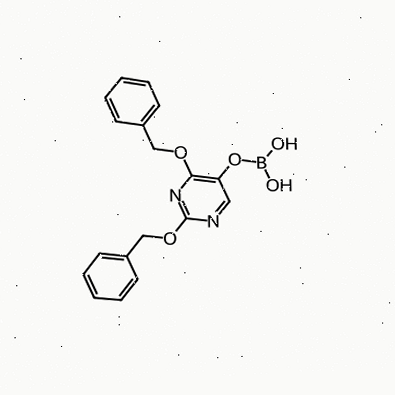 OB(O)Oc1cnc(OCc2ccccc2)nc1OCc1ccccc1